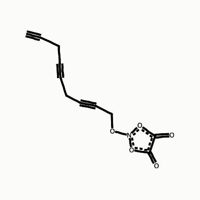 C#CCC#CCC#CCOn1oc(=O)c(=O)o1